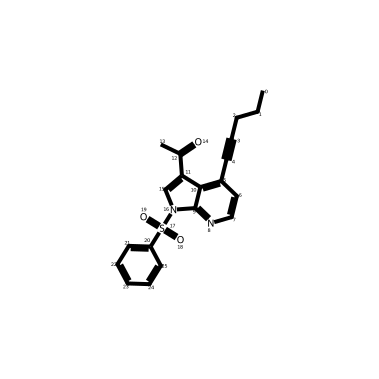 CCCC#Cc1ccnc2c1c(C(C)=O)cn2S(=O)(=O)c1ccccc1